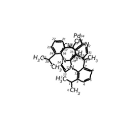 CC(C)c1cccc(C(C)C)c1N1C=CN(c2c(C(C)C)cccc2C(C)C)C1=C1CC=N[C]([Pd])=C1Cl